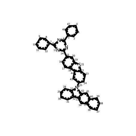 c1ccc(-c2nc(-c3ccccc3)nc(-c3ccc4c(c3)sc3ccc(-n5c6ccccc6c6cc7ccccc7cc65)cc34)n2)cc1